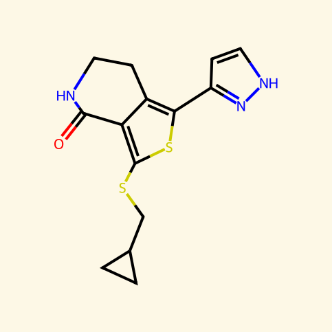 O=C1NCCc2c(-c3cc[nH]n3)sc(SCC3CC3)c21